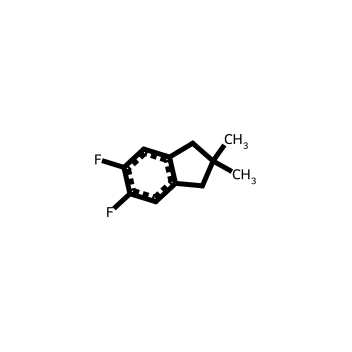 CC1(C)Cc2cc(F)c(F)cc2C1